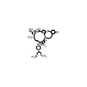 COCC[C@@H]1[C@@H](C)C/C=C/[C@](CN2CCN(C(COC)COC)CC2)(OC)[C@@H]2CC[C@H]2CN2CCCCc3cc(Cl)ccc3COc3ccc(nc32)C(=O)NS1(=O)=O